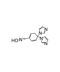 O[N+]#CC1=CCC(n2ccnc2)(n2ccnc2)C=C1